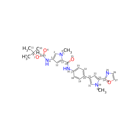 Cn1cc(NC(=O)OC(C)(C)C)cc1C(=O)Nc1ccc(-c2cc(-c3ncco3)n(C)c2)cc1